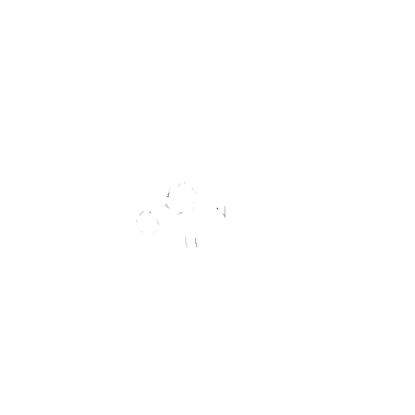 CC(CN1CCCCC1CC1CCCCC1)c1cccc(C(C)(O)c2ccccc2)c1